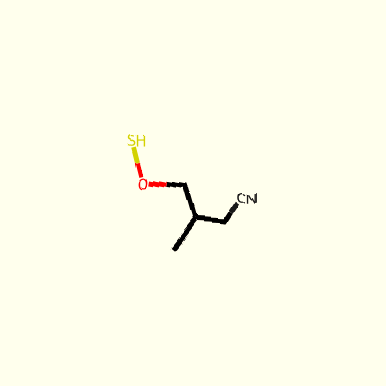 CC(CC#N)COS